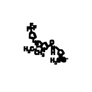 CC(C)[C@H]1c2ncc(C(=O)NCC3CCN([S+](C)[O-])C3)cc2CN1Cc1ccc(C(F)(F)F)cc1